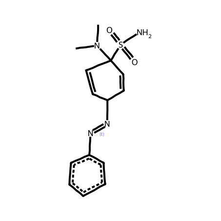 CN(C)C1(S(N)(=O)=O)C=CC(/N=N/c2ccccc2)C=C1